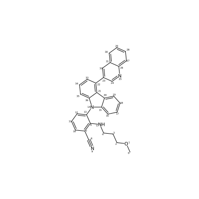 COCCCNc1c(C#N)cccc1-n1c2ccccc2c2c(-c3cnc4ccccc4c3)cccc21